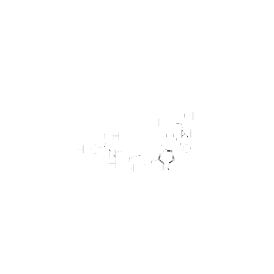 CC(C)NCC(O)COc1ncc(S(=O)(=O)NC(C)C)s1